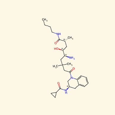 CCCCNC(=O)[C@H](C)C[C@H](O)[C@@H](N)CC(C)(C)CC(=O)N1C[C@H](NC(=O)C2CC2)Cc2ccccc21